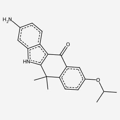 CC(C)Oc1ccc2c(c1)C(=O)c1c([nH]c3cc(N)ccc13)C2(C)C